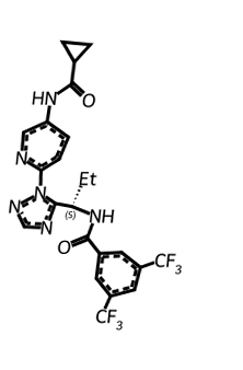 CC[C@H](NC(=O)c1cc(C(F)(F)F)cc(C(F)(F)F)c1)c1ncnn1-c1ccc(NC(=O)C2CC2)cn1